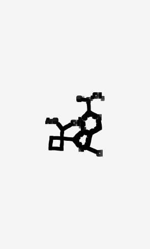 CC(=O)OC(C)C1(c2nc(Cl)c3cnc([S+](C)[O-])nn23)CCC1